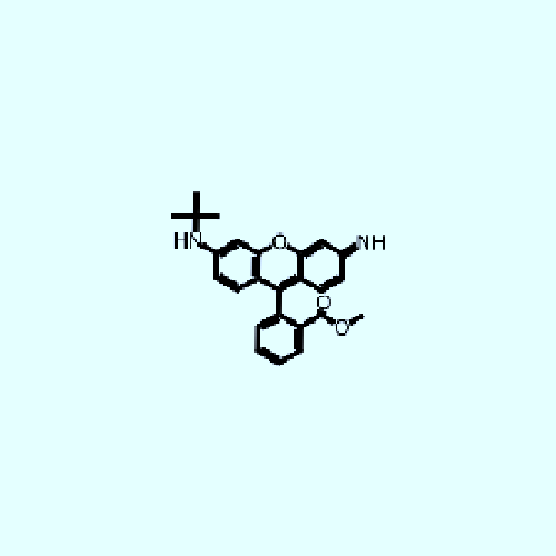 COC(=O)c1ccccc1-c1c2ccc(=N)cc-2oc2cc(NC(C)(C)C)ccc12